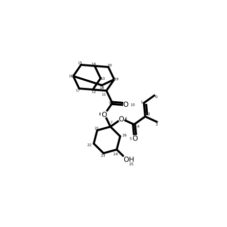 CC=C(C)C(=O)OC1(OC(=O)C2C3CC4CC(C3)CC2C4)CCCC(O)C1